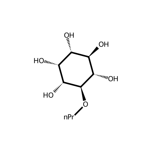 CCCO[C@H]1[C@H](O)[C@H](O)[C@H](O)[C@@H](O)[C@@H]1O